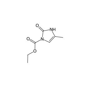 CCOC(=O)n1cc(C)[nH]c1=O